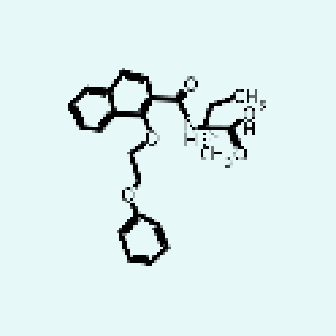 CC[C@](C)(NC(=O)c1ccc2ccccc2c1OCCOc1ccccc1)C(=O)O